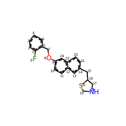 Fc1ccccc1COc1ccc2cc(CC3CNCS3)ccc2c1